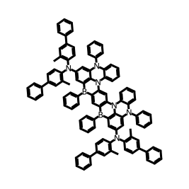 Cc1cc(-c2ccccc2)ccc1N(c1cc2c3c(c1)N(c1ccccc1)c1ccccc1N3c1cc3c(cc1B2c1ccccc1)B(c1ccccc1)c1cc(N(c2ccc(-c4ccccc4)cc2C)c2ccc(-c4ccccc4)cc2C)cc2c1N3c1ccccc1N2c1ccccc1)c1ccc(-c2ccccc2)cc1C